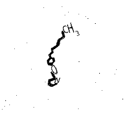 CCCCCCCCc1ccc(OCc2ccccn2)cc1